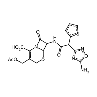 CC(=O)OCC1=C(C(=O)O)N2C(=O)C(NC(=O)C(c3noc(N)n3)c3cccs3)C2SC1